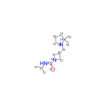 CC(C)NC(=O)N1CC(CN2CCCC2(C)C)C1